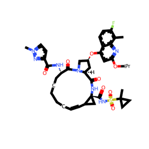 Cc1c(F)ccc2c(O[C@@H]3C[C@H]4C(=O)N[C@]5(C(=O)NS(=O)(=O)C6(C)CC6)CC5/C=C\CCCCC[C@H](NC(=O)c5ccn(C)n5)C(=O)N4C3)cc(OC(C)C)nc12